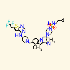 Cc1c(CN2CCC(Nc3ncnc4sc(CC(F)(F)F)cc34)CC2)ccc2c1cc(C#N)n2CC(C)N1CCN(S(=O)(=O)NCCC2CC2)CC1